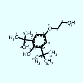 CC(C)(C)c1cc(OCCO)cc(C(C)(C)C)c1O